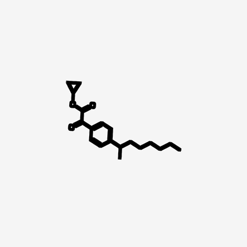 CCCCCCC(C)c1ccc(C(=O)C(=O)OC2CC2)cc1